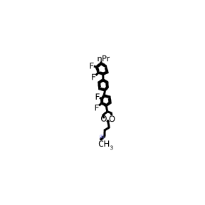 C/C=C/CCC1OCC(c2ccc(-c3ccc(-c4ccc(CCC)c(F)c4F)cc3)c(F)c2F)CO1